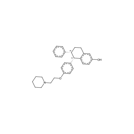 Oc1ccc2c(c1)CC[C@@H](c1ccccc1)[C@H]2c1ccc(OCCN2CCCCC2)cc1